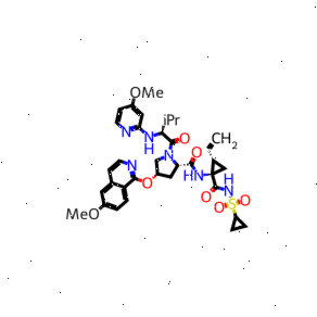 C=C[C@@H]1C[C@]1(NC(=O)[C@@H]1C[C@@H](Oc2nccc3cc(OC)ccc23)CN1C(=O)[C@@H](Nc1cc(OC)ccn1)C(C)C)C(=O)NS(=O)(=O)C1CC1